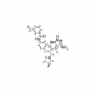 Cc1ccc(NC(=O)c2cccc(CF)c2)cc1-c1nc2[nH]nc(N)c2c(C)c1CCN1CCC(F)C1